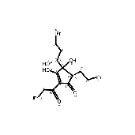 CC(C)CC[C@@H](O)C1(O)C(O)=C(C(=O)CC(C)C)C(=O)[C@@H]1CCC(C)C